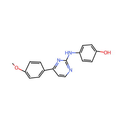 COc1ccc(-c2ccnc(Nc3ccc(O)cc3)n2)cc1